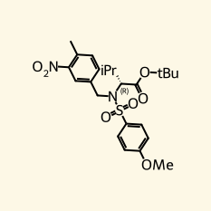 COc1ccc(S(=O)(=O)N(Cc2ccc(C)c([N+](=O)[O-])c2)[C@@H](C(=O)OC(C)(C)C)C(C)C)cc1